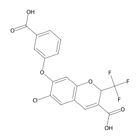 O=C(O)C1=Cc2cc(Cl)c(Oc3cccc(C(=O)O)c3)cc2OC1C(F)(F)F